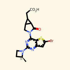 C[C@H]1CCN1c1nc(N2CC3C(CC(=O)O)C3C2=O)c2sc(Br)cc2n1